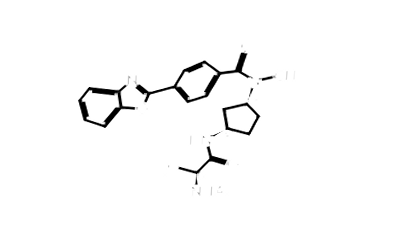 CC(=O)N[C@@H](C)C(=O)N[C@@H]1CC[C@H](N(C)C(=O)c2ccc(-c3nc4ccccc4o3)cc2)C1